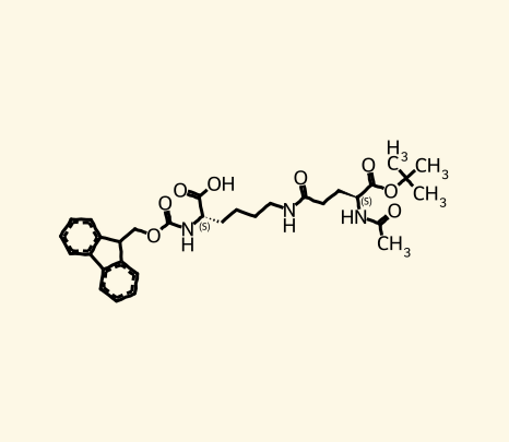 CC(=O)N[C@@H](CCC(=O)NCCCC[C@H](NC(=O)OCC1c2ccccc2-c2ccccc21)C(=O)O)C(=O)OC(C)(C)C